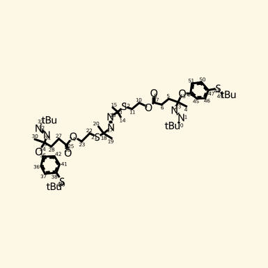 CC(C)(C)/N=N/C(C)(CCC(=O)OCCSC(C)(C)/N=N/C(C)(C)SCCOC(=O)CCC(C)(/N=N/C(C)(C)C)Oc1ccc(SC(C)(C)C)cc1)Oc1ccc(SC(C)(C)C)cc1